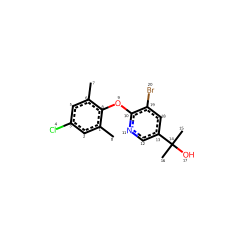 Cc1cc(Cl)cc(C)c1Oc1ncc(C(C)(C)O)cc1Br